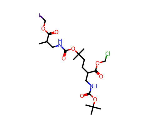 CC(CNC(=O)OC(C)(C)CCC(CNC(=O)OC(C)(C)C)C(=O)OCCl)C(=O)OCI